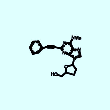 CNc1nc(C#Cc2ccccc2)nc2c1ncn2C1CCC(CO)O1